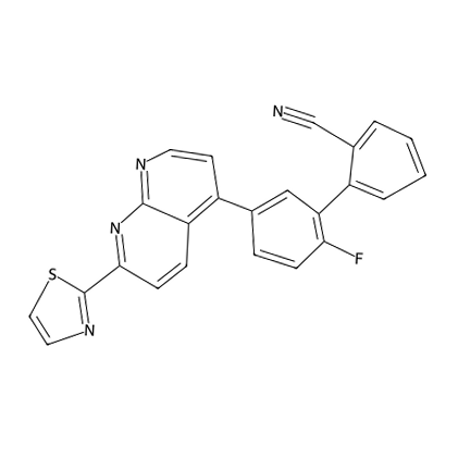 N#Cc1ccccc1-c1cc(-c2ccnc3nc(-c4nccs4)ccc23)ccc1F